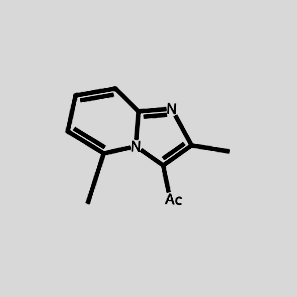 CC(=O)c1c(C)nc2cccc(C)n12